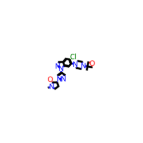 CN1CCC(n2cc(-n3ncc4cc(Cl)c(N5CCN(C6(C)COC6)CC5)cc43)cn2)C1=O